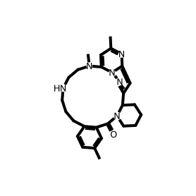 Cc1ccc2c(c1)C(=O)N1CCCCC1c1cc3nc(C)cc(n3n1)N(C)CCNCCC2